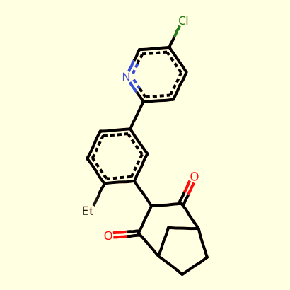 CCc1ccc(-c2ccc(Cl)cn2)cc1C1C(=O)C2CCC(C2)C1=O